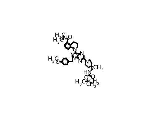 COc1ccc(Cn2nc(N3CCCc4c(C(=O)N(C)C)cccc43)c3ncc(N4CCC(C)(CNC(=O)OC(C)(C)C)CC4)nc32)cc1